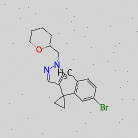 Cc1ccc(Br)cc1C1(c2cnn(CC3CCCCO3)c2)CC1